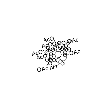 CCCC(=O)OC12CCCOC1C(OP(=O)(OCOC(C)=O)OCOC(C)=O)C(OP(=O)(OCOC(C)=O)OCOC(C)=O)C(OP(=O)(OCOC(C)=O)OCOC(C)=O)C2OP(=O)(OCOC(C)=O)OCOC(C)=O